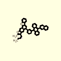 C=C/C=C\c1c(C)oc2cc3c(cc12)c(C1=CCCC(c2c4ccccc4c(-c4ccc5ccccc5c4)c4ccccc24)=C1)cc1c2ccccc2oc31